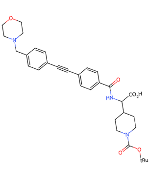 CC(C)(C)OC(=O)N1CCC(C(NC(=O)c2ccc(C#Cc3ccc(CN4CCOCC4)cc3)cc2)C(=O)O)CC1